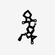 C#CCN1CC2(CC2=O)c2cc(F)c(N3C(=O)C4CCCCC4C3=O)cc21